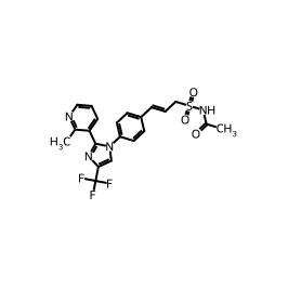 CC(=O)NS(=O)(=O)CC=Cc1ccc(-n2cc(C(F)(F)F)nc2-c2cccnc2C)cc1